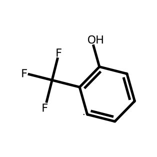 Oc1ccc[c]c1C(F)(F)F